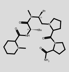 CC(C)[C@@H](CN1CCCC1C(=O)N1CCCC1C(N)=O)N(C)C(=O)[C@@H](NC(=O)C1CCCCN1C)C(C)(C)C